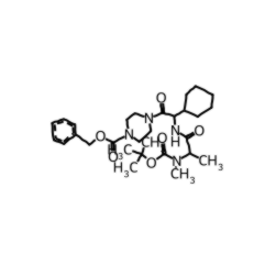 CC(C(=O)NC(C(=O)N1CCN(C(=O)OCc2ccccc2)CC1)C1CCCCC1)N(C)C(=O)OC(C)(C)C